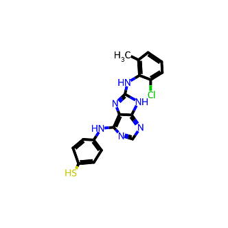 Cc1cccc(Cl)c1Nc1nc2c(Nc3ccc(S)cc3)ncnc2[nH]1